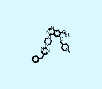 CCOc1cc2ncnc(N3CCN(c4ncc(Cc5ccccc5)cn4)CC3)c2cc1OCC1CCN(C)CC1